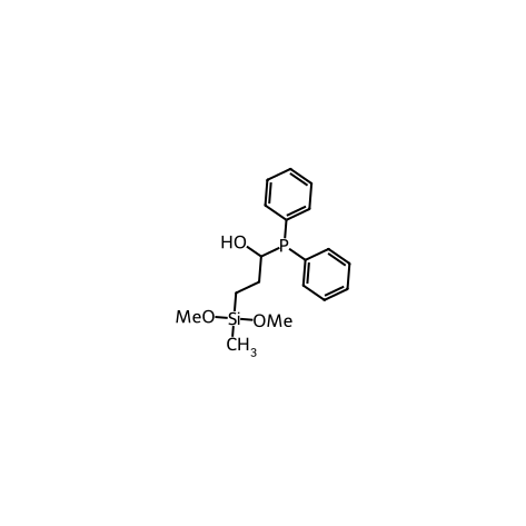 CO[Si](C)(CCC(O)P(c1ccccc1)c1ccccc1)OC